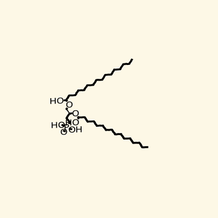 CCCCCCCCCCCCCCCC(O)OC[C@H](CCP(=O)(O)O)OC(O)CCCCCCCCCCCCCCC